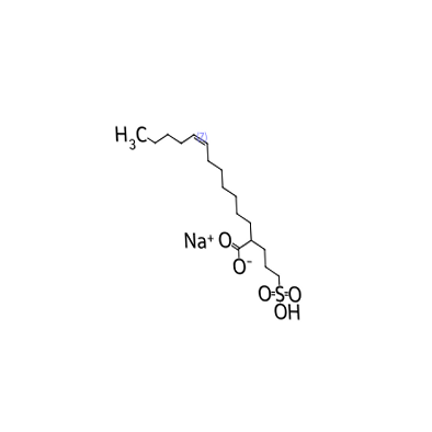 CCCC/C=C\CCCCCCC(CCCS(=O)(=O)O)C(=O)[O-].[Na+]